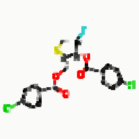 O=C(OC[C@@H]1SC[C@@H](F)[C@@H]1OC(=O)c1ccc(Cl)cc1)c1ccc(Cl)cc1